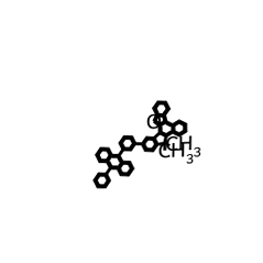 CC1(C)c2ccc(-c3cccc(-c4c5ccccc5c(-c5ccccc5)c5ccccc45)c3)cc2-c2c1c1ccccc1c1c2oc2ccccc21